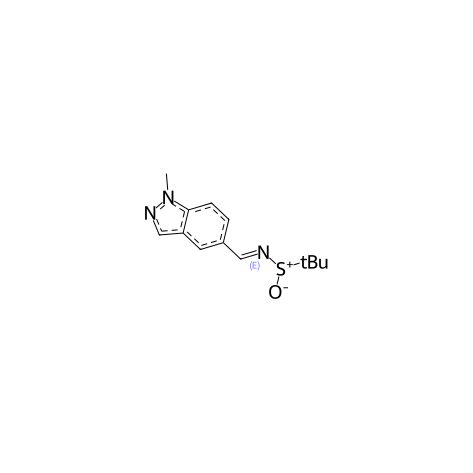 Cn1ncc2cc(/C=N/[S+]([O-])C(C)(C)C)ccc21